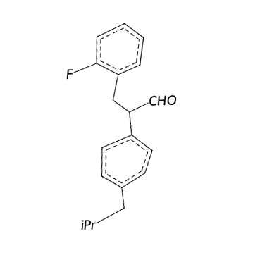 CC(C)Cc1ccc(C(C=O)Cc2ccccc2F)cc1